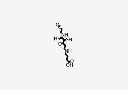 O=C=CCNC(S)C(S)C(=O)CCNCCCC(=O)O